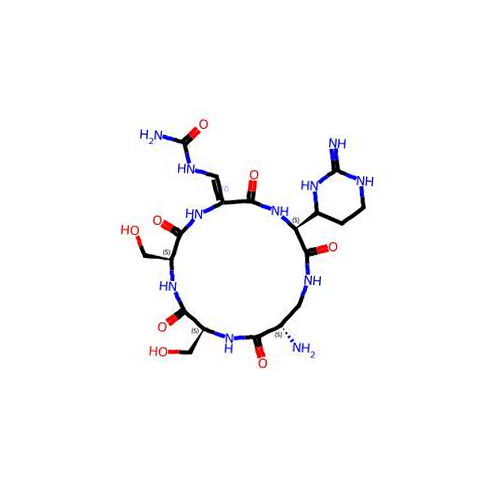 N=C1NCCC([C@@H]2NC(=O)/C(=C/NC(N)=O)NC(=O)[C@H](CO)NC(=O)[C@H](CO)NC(=O)[C@@H](N)CNC2=O)N1